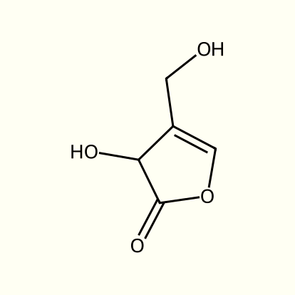 O=C1OC=C(CO)C1O